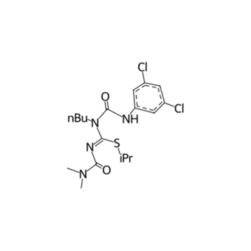 CCCCN(C(=O)Nc1cc(Cl)cc(Cl)c1)C(=NC(=O)N(C)C)SC(C)C